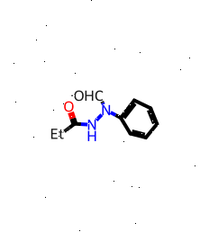 CCC(=O)NN([C]=O)c1ccccc1